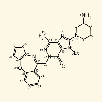 CCn1c(N2CCCC(N)C2)nc2c(C(F)(F)F)nn(CC3=Nc4sccc4Oc4ccccc43)c(=O)c21